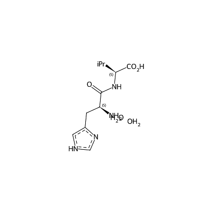 CC(C)[C@H](NC(=O)[C@@H](N)Cc1c[nH]cn1)C(=O)O.O.O